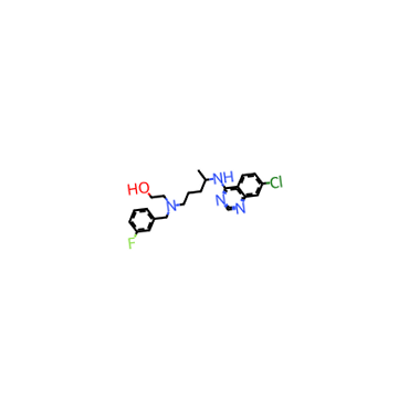 CC(CCCN(CCO)Cc1cccc(F)c1)Nc1ncnc2cc(Cl)ccc12